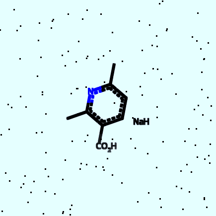 Cc1ccc(C(=O)O)c(C)n1.[NaH]